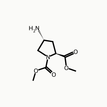 COC(=O)[C@@H]1C[C@@H](N)CN1C(=O)OC